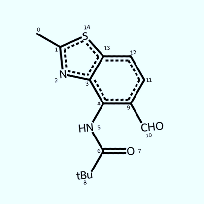 Cc1nc2c(NC(=O)C(C)(C)C)c(C=O)ccc2s1